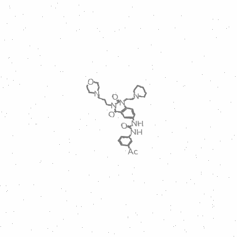 CC(=O)c1cccc(NC(=O)Nc2ccc3c(c2)c(=O)n(CCCN2CCOCC2)c(=O)n3CCN2CCCCC2)c1